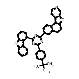 CC(C)(C)c1ccc(-c2nc(-c3ccc4c(ccc5oc6cnccc6c54)c3)nc(-c3cccc4oc5ccccc5c34)n2)cc1